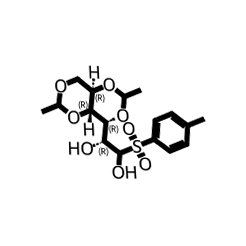 Cc1ccc(S(=O)(=O)C(O)[C@H](O)[C@H]2OC(C)O[C@@H]3COC(C)O[C@@H]23)cc1